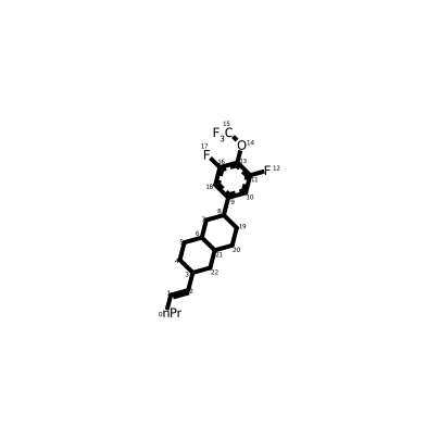 CCCC=CC1CCC2CC(c3cc(F)c(OC(F)(F)F)c(F)c3)CCC2C1